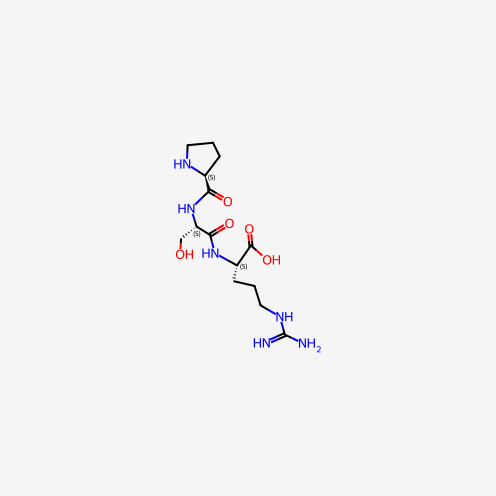 N=C(N)NCCC[C@H](NC(=O)[C@H](CO)NC(=O)[C@@H]1CCCN1)C(=O)O